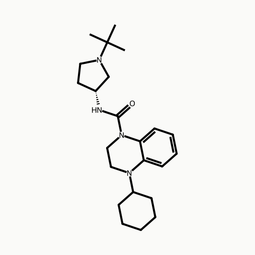 CC(C)(C)N1CC[C@@H](NC(=O)N2CCN(C3CCCCC3)c3ccccc32)C1